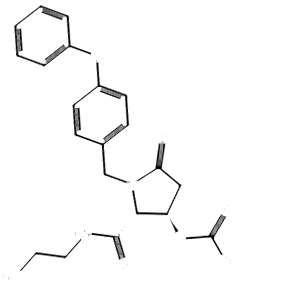 CC(=O)S[C@@H]1CC(=O)N(Cc2ccc(Oc3ccccc3)cc2)[C@H]1C(=O)NCCO